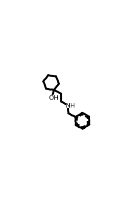 OC1(CCNCc2ccccc2)CCCCC1